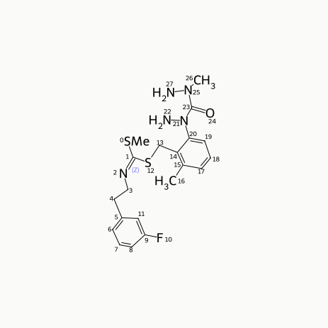 CS/C(=N/CCc1cccc(F)c1)SCc1c(C)cccc1N(N)C(=O)N(C)N